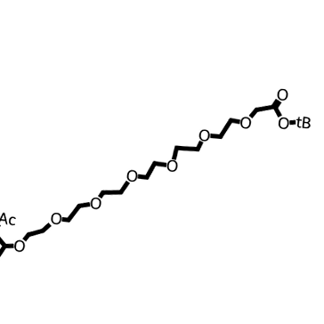 CCCCCCCCCCC(OCCOCCOCCOCCOCCOCCOCC(=O)OC(C)(C)C)SC(C)=O